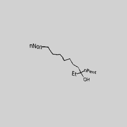 CCCCCCCCCCCCCCCCC(O)(CC)CCCCC